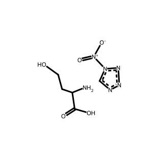 NC(CCO)C(=O)O.O=[N+]([O-])n1cnnn1